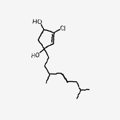 CC(C)CCCC(C)CCC1(O)C=C(Cl)C(O)C1